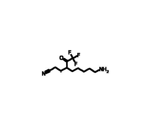 N#CC[CH]C(CCCCCN)C(=O)C(F)(F)F